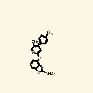 CC(=O)Nc1nc2c(Oc3cc(-c4ccc(C(F)(F)F)cc4)c(C=O)cn3)cccc2s1